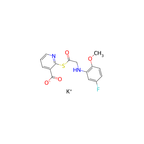 COc1ccc(F)cc1NCC(=O)Sc1ncccc1C(=O)[O-].[K+]